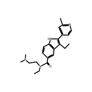 CCc1c(-c2ccnc(C)c2)[nH]c2ccc(C(=O)N(CC)CCN(C)C)cc12